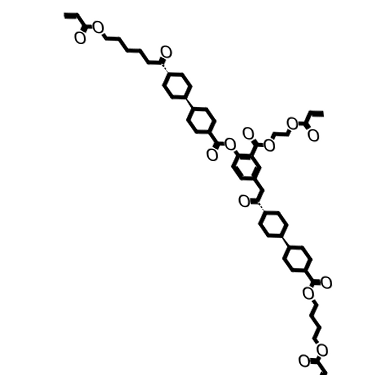 C=CC(=O)OCCCCCC(=O)[C@H]1CC[C@H](C2CCC(C(=O)Oc3ccc(CC(=O)[C@H]4CC[C@H](C5CCC(C(=O)OCCCCOC(=O)C=C)CC5)CC4)cc3C(=O)OCCOC(=O)C=C)CC2)CC1